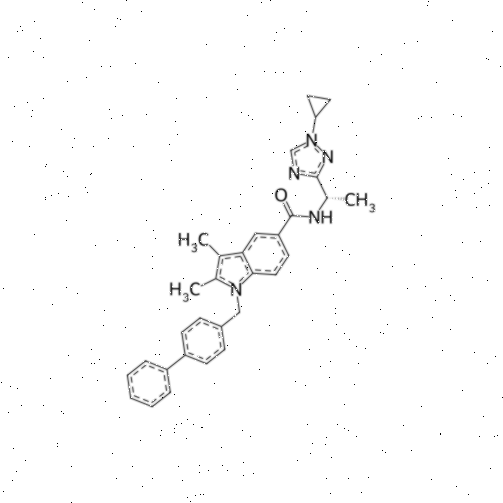 Cc1c(C)n(Cc2ccc(-c3ccccc3)cc2)c2ccc(C(=O)N[C@@H](C)c3ncn(C4CC4)n3)cc12